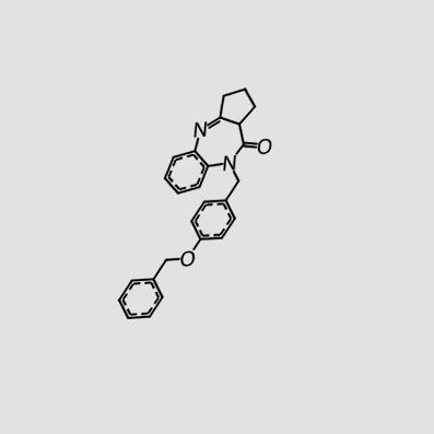 O=C1C2CCCC2=Nc2ccccc2N1Cc1ccc(OCc2ccccc2)cc1